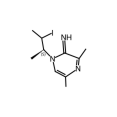 Cc1cn([C@@H](C)C(C)I)c(=N)c(C)n1